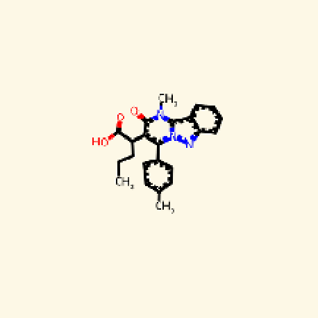 CCCC(C(=O)O)c1c(-c2ccc(C)cc2)n2nc3ccccc3c2n(C)c1=O